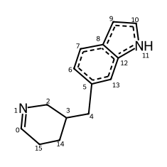 C1=NCC(Cc2ccc3cc[nH]c3c2)CC1